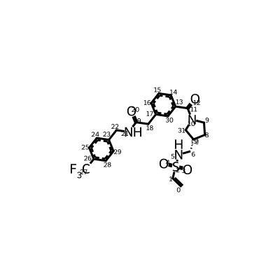 C=CS(=O)(=O)NC[C@H]1CCN(C(=O)c2cccc(CC(=O)NCc3ccc(C(F)(F)F)cc3)c2)C1